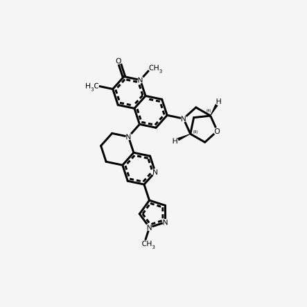 Cc1cc2c(N3CCCc4cc(-c5cnn(C)c5)ncc43)cc(N3C[C@H]4C[C@@H]3CO4)cc2n(C)c1=O